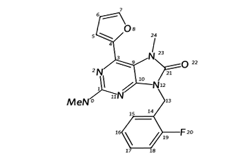 CNc1nc(-c2ccco2)c2c(n1)n(Cc1ccccc1F)c(=O)n2C